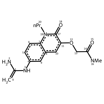 C=C(N)Nc1ccc2c(c1)cc(OCC(=O)NC)c(=O)n2CCC